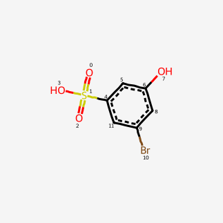 O=S(=O)(O)c1cc(O)cc(Br)c1